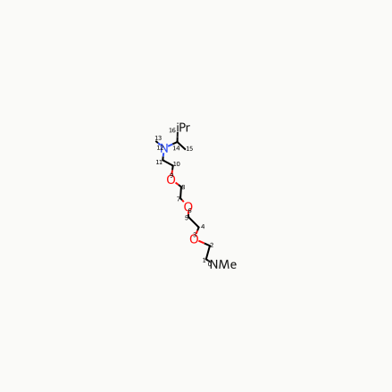 CNCCOCCOCCOCCN(C)C(C)C(C)C